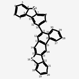 c1ccc2c(c1)sc1ccc(-c3cc4cc5sc6ccccc6c5cc4c4ccccc34)cc12